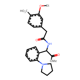 CCOc1cc(CC(=O)NC(C(=O)OC)c2ccccc2N2CCCC2)ccc1C(=O)O